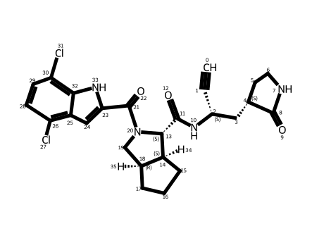 C#C[C@H](C[C@@H]1CCNC1=O)NC(=O)[C@@H]1[C@H]2CCC[C@H]2CN1C(=O)c1cc2c(Cl)ccc(Cl)c2[nH]1